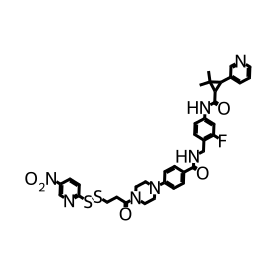 CC1(C)C(C(=O)Nc2ccc(CNC(=O)c3ccc(N4CCN(C(=O)CCSSc5ccc([N+](=O)[O-])cn5)CC4)cc3)c(F)c2)C1c1cccnc1